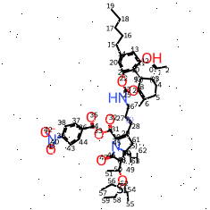 C=C(C)[C@@H]1CCC(C)=C[C@H]1c1c(O)cc(CCCCC)cc1OC(=O)NC/C=C/C1=C(C(=O)OC(=O)c2ccc([N+](=O)[O-])cc2)N2C(=O)[C@](C)(C(C)O[Si](CC)(CC)CC)[C@H]2[C@H]1C